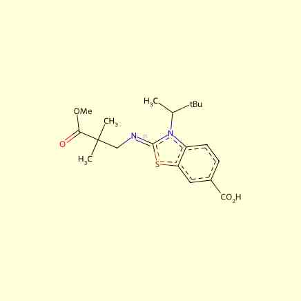 COC(=O)C(C)(C)C/N=c1\sc2cc(C(=O)O)ccc2n1C(C)C(C)(C)C